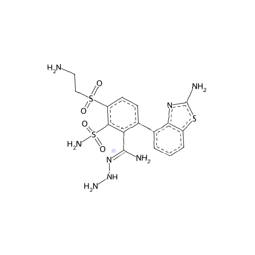 NCCS(=O)(=O)c1ccc(-c2cccc3sc(N)nc23)c(/C(N)=N/NN)c1S(N)(=O)=O